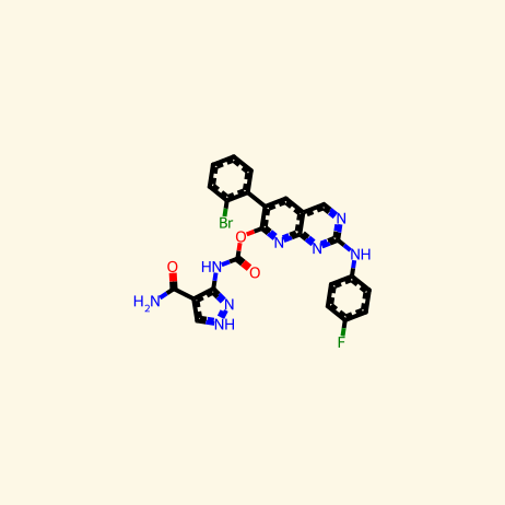 NC(=O)c1c[nH]nc1NC(=O)Oc1nc2nc(Nc3ccc(F)cc3)ncc2cc1-c1ccccc1Br